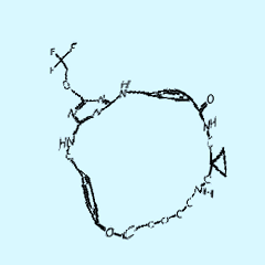 O=C1NCC2(CC2)CNCCOCCOc2ccc(cc2)CNc2nc(nc(OCC(F)(F)F)n2)Nc2ccc1cc2